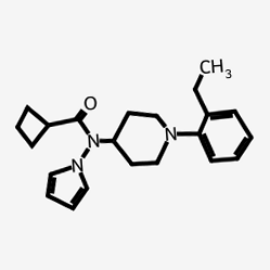 CCc1ccccc1N1CCC(N(C(=O)C2CCC2)n2cccc2)CC1